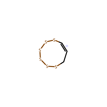 C1=C\SSSSSSC/1